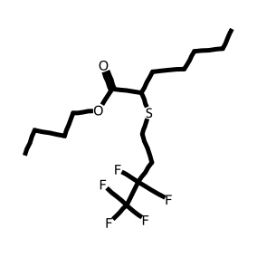 CCCCCC(SCCC(F)(F)C(F)(F)F)C(=O)OCCCC